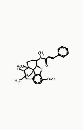 COc1ccc2c3c1OC1C(N(C)C(=O)/C=C/c4ccccc4)CC[C@@]4(OC(C)=O)[C@@H](C2)N(C)CC[C@]314